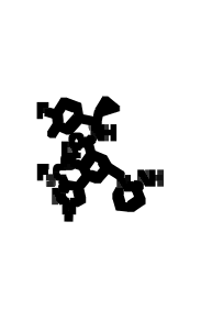 CCOc1c(C(=O)N[C@H](c2ccc(F)c(C)c2)C2CC2)cc(Cn2ccccc2=N)cc1-c1cn(C)nc1C(F)(F)F